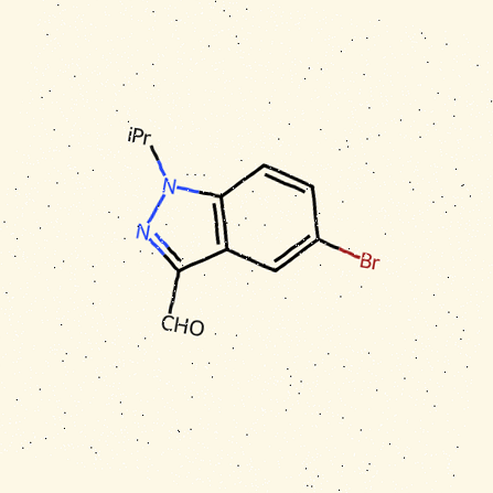 CC(C)n1nc(C=O)c2cc(Br)ccc21